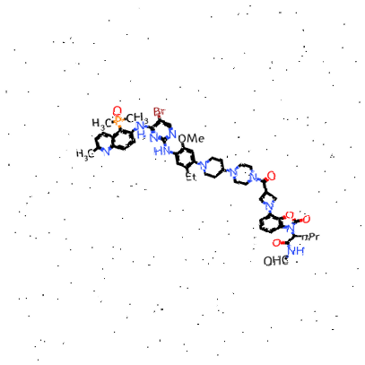 CCCC(C(=O)NC=O)n1c(=O)oc2c(N3CC(C(=O)N4CCN(C5CCN(c6cc(OC)c(Nc7ncc(Br)c(Nc8ccc9nc(C)ccc9c8P(C)(C)=O)n7)cc6CC)CC5)CC4)C3)cccc21